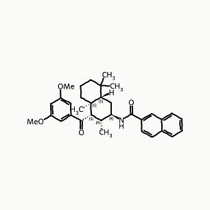 COc1cc(OC)cc(C(=O)[C@H]2[C@@H](C)[C@H](NC(=O)c3ccc4ccccc4c3)C[C@H]3C(C)(C)CCC[C@]23C)c1